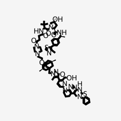 Cc1ncsc1-c1ccc([C@H](C)NC(=O)[C@@H]2C[C@@H](O)CN2C(=O)C(NC(=O)CCC(=O)N2CCN(CCOC34CC5(Cn6ncc(-c7ccc(N8CCCc9c8nnc(Nc8nc%10ccccc%10s8)c9C)nc7C(=O)O)c6C)C[C@@](C)(C3)C[C@](C)(C5)C4)CC2)C(C)(C)C)cc1